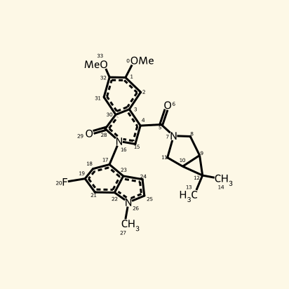 COc1cc2c(C(=O)N3CC4C(C3)C4(C)C)cn(-c3cc(F)cc4c3ccn4C)c(=O)c2cc1OC